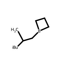 CCC(C)C(C)CB1CCC1